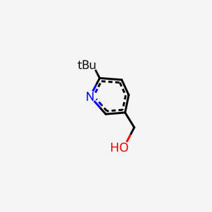 CC(C)(C)c1ccc(CO)cn1